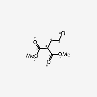 COC(=O)C(CCCl)C(=O)OC